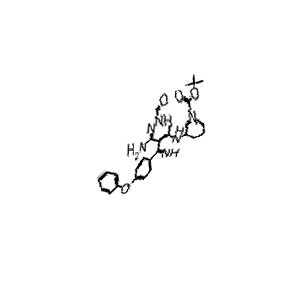 C/C(NC1CCCN(C(=O)OC(C)(C)C)C1)=C(C(=N)c1ccc(Oc2ccccc2)cc1)\C(N)=N/NC=O